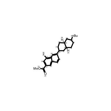 CCCCC1CC[C@@H]2CC(c3ccc4cc(C(=O)OC)cc(F)c4c3)CC[C@H]2C1